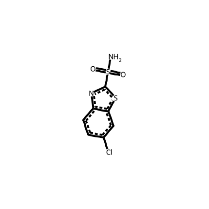 NS(=O)(=O)c1nc2ccc(Cl)cc2s1